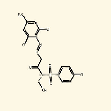 N#CC[C@H](C(=O)CN=Nc1c(Cl)cc(C(F)(F)F)cc1Cl)S(=O)(=O)c1ccc(Cl)cc1